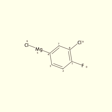 Fc1cc[c]([Mg][Cl])cc1Cl